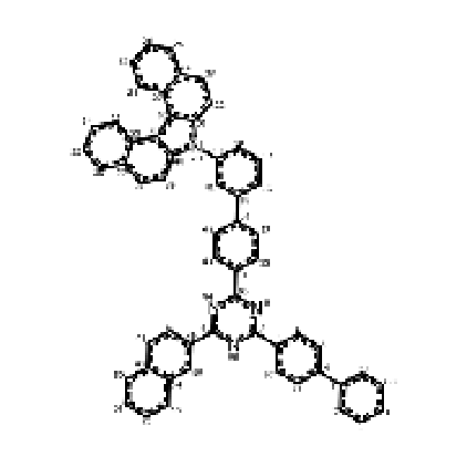 c1ccc(-c2ccc(-c3nc(-c4ccc(-c5cccc(-n6c7ccc8ccccc8c7c7c8ccccc8ccc76)c5)cc4)nc(-c4ccc5ccccc5c4)n3)cc2)cc1